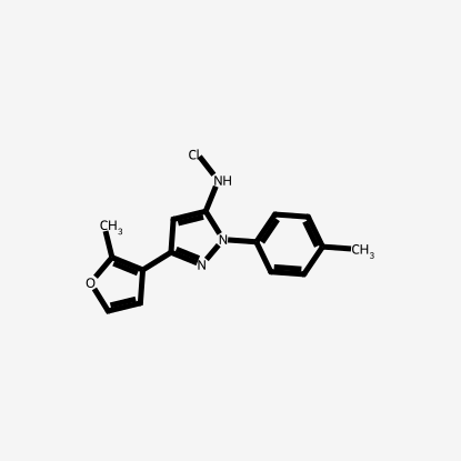 Cc1ccc(-n2nc(-c3ccoc3C)cc2NCl)cc1